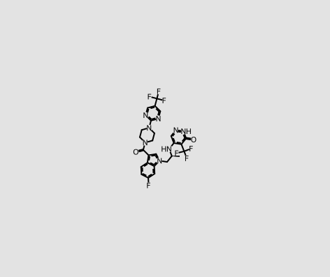 C[C@@H](Cn1cc(C(=O)N2CCN(c3ncc(C(F)(F)F)cn3)CC2)c2ccc(F)cc21)Nc1cn[nH]c(=O)c1C(F)(F)F